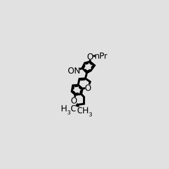 CCCOc1ccc(C2=Cc3ccc4c(c3OC2)CCC(C)(C)O4)c(N=O)c1